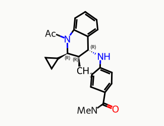 CNC(=O)c1ccc(N[C@H]2c3ccccc3N(C(C)=O)[C@H](C3CC3)[C@@H]2C)cc1